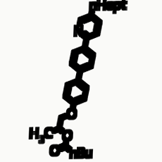 CCCCCCCc1ccc(-c2ccc(-c3ccc(OCC(C)OC(=O)CCCC)cc3)cc2)nc1